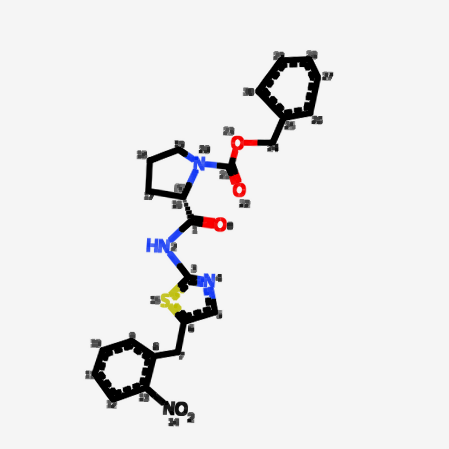 O=C(Nc1ncc(Cc2ccccc2[N+](=O)[O-])s1)[C@@H]1CCCN1C(=O)OCc1ccccc1